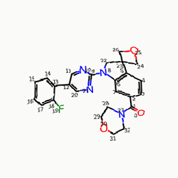 O=C(c1ccc2c(c1)N(c1ncc(-c3ccccc3F)cn1)CC21COC1)N1CCOCC1